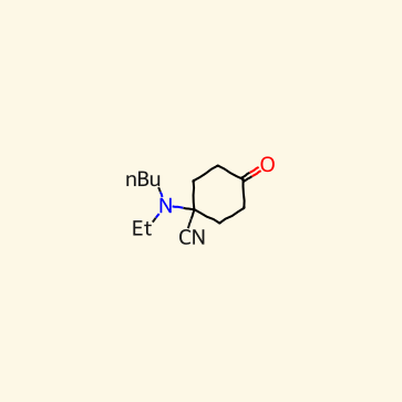 CCCCN(CC)C1(C#N)CCC(=O)CC1